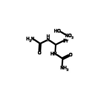 CC(C)C(NC(N)=O)NC(N)=O.O=[N+]([O-])O